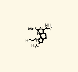 CSc1nc(C(N)=O)c2ccc3cc(C)n(CCO)c3c2n1